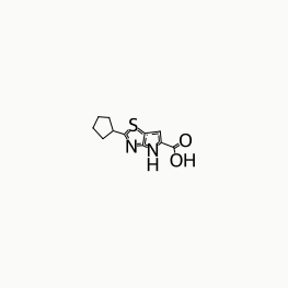 O=C(O)c1cc2sc(C3CCCC3)nc2[nH]1